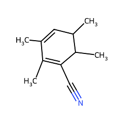 CC1=CC(C)C(C)C(C#N)=C1C